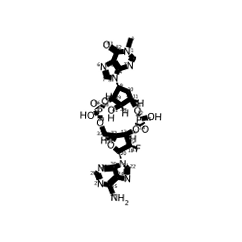 Cn1cnc2c(ncn2[C@@H]2C[C@@H]3OP(=O)(O)O[C@H]4[C@@H](F)[C@H](n5cnc6c(N)ncnc65)O[C@@H]4COP(=O)(O)O[C@@H]2[C@@H]3O)c1=O